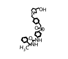 C[C@H](NC(=O)Nc1ccc(S(=O)(=O)Cc2ccc(CN3CCC(CO)C3)cc2)cc1)c1ccccc1